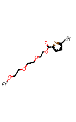 CCOCCOCCOCCOC(=O)c1ccc(C(C)C)s1